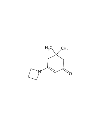 CC1(C)CC(=O)C=C(N2CCC2)C1